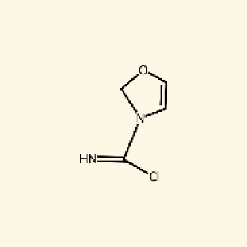 N=C(Cl)N1C=COC1